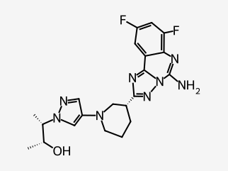 C[C@@H](O)[C@H](C)n1cc(N2CCC[C@@H](c3nc4c5cc(F)cc(F)c5nc(N)n4n3)C2)cn1